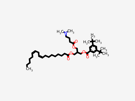 CCCCC/C=C\C/C=C\CCCCCCCC(=O)OCC(COC(=O)CCCN(C)C)COC(=O)c1cc(C(C)(C)C)cc(C(C)(C)C)c1